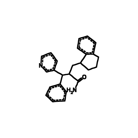 NC(=O)C(CC1CCCc2ccccc21)C(c1ccccc1)c1cccnc1